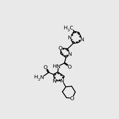 Cc1cncc(-c2nc(C(=O)Nc3cn(C4CCOCC4)nc3C(N)=O)co2)n1